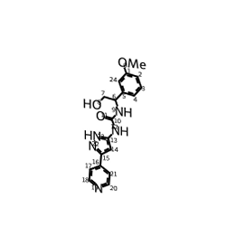 COc1cccc(C(CO)NC(=O)Nc2cc(-c3ccncc3)n[nH]2)c1